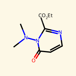 CCOC(=O)c1nccc(=O)n1N(C)C